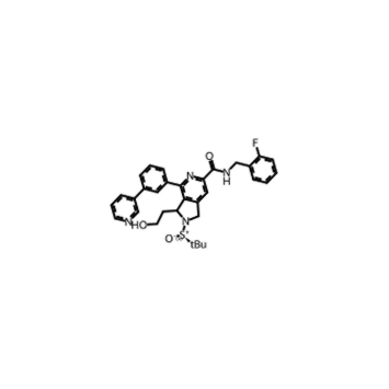 CC(C)(C)[S@@+]([O-])N1Cc2cc(C(=O)NCc3ccccc3F)nc(-c3cccc(-c4cccnc4)c3)c2C1CCO